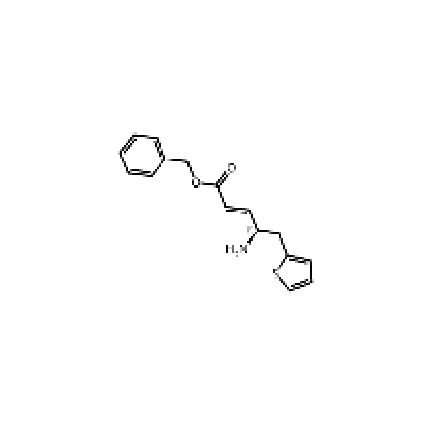 N[C@@H](C=CC(=O)OCc1ccccc1)Cc1cccs1